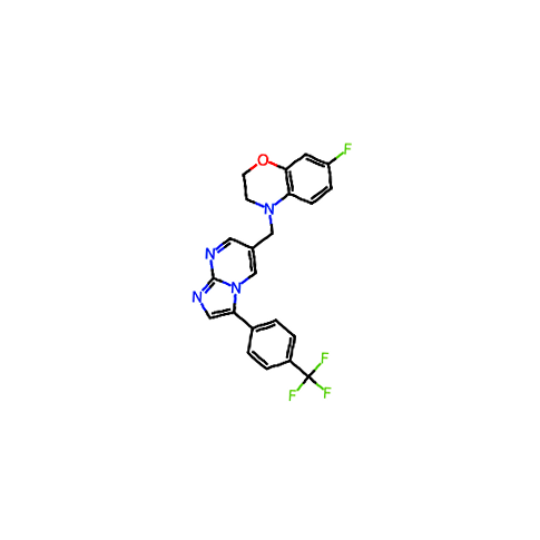 Fc1ccc2c(c1)OCCN2Cc1cnc2ncc(-c3ccc(C(F)(F)F)cc3)n2c1